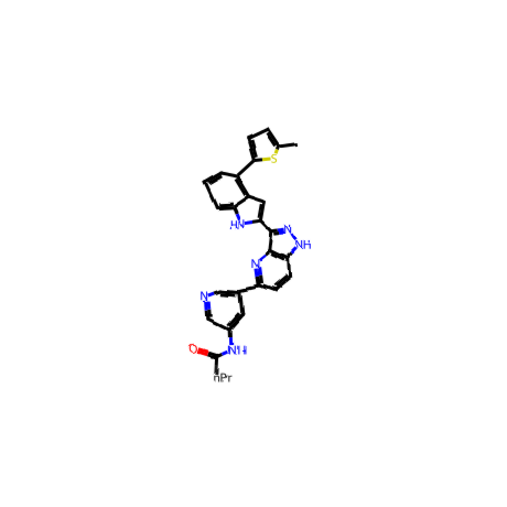 CCCC(=O)Nc1cncc(-c2ccc3[nH]nc(-c4cc5c(-c6ccc(C)s6)cccc5[nH]4)c3n2)c1